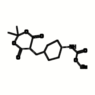 CC(C)(C)OC(=O)NC1CCC(CC2C(=O)OC(C)(C)OC2=O)CC1